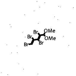 COC(OC)/C(Br)=C(Br)/C(Br)=C/Br